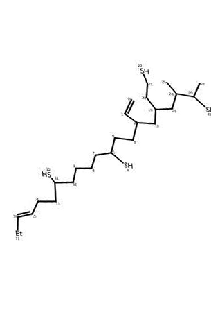 C=CC(CCC(S)CCCCC(S)CC/C=C/CC)CC(CCS)CC(C)C(C)S